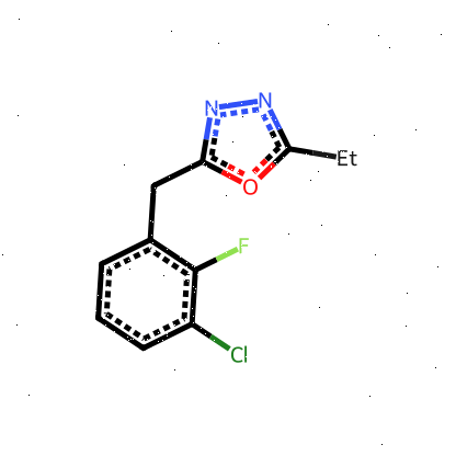 CCc1nnc(Cc2cccc(Cl)c2F)o1